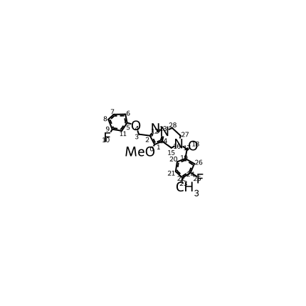 COc1c(COc2cccc(F)c2)nn2c1CN(C(=O)c1ccc(C)c(F)c1)CC2